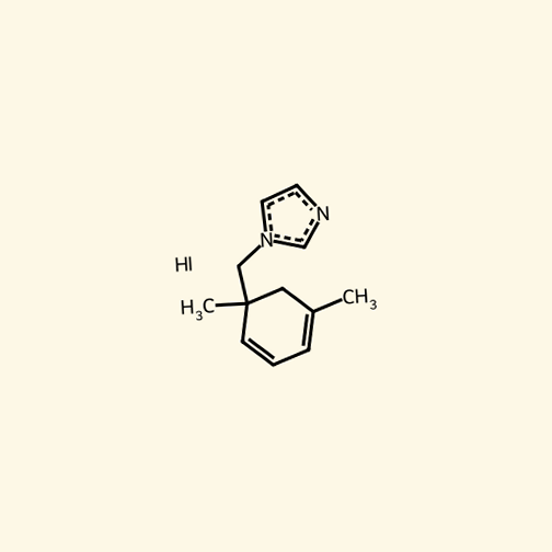 CC1=CC=CC(C)(Cn2ccnc2)C1.I